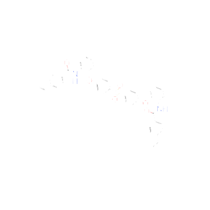 C=Cc1ccc(C(=O)Nc2ccccc2Oc2ccc(S(=O)(=O)c3ccc(Oc4ccccc4NC(=O)c4ccc(C=C)cc4)cc3)cc2)cc1